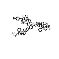 COc1ccccc1-c1nccc(COc2ccc(CCC(O)CO[Si](c3ccccc3)(c3ccccc3)C(C)(C)C)cc2CC(Oc2ncnc3sc(-c4ccc(F)cc4)c(Br)c23)C(=O)O)n1